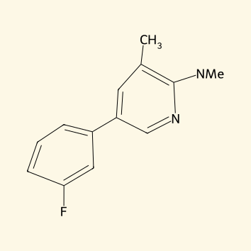 CNc1ncc(-c2cccc(F)c2)cc1C